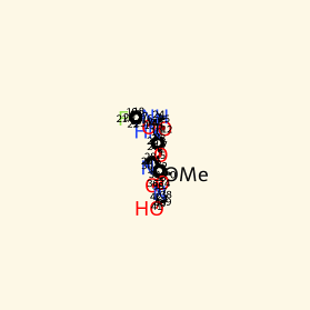 COc1cc2c(Oc3ccc(NC(=O)C4(C(=O)Nc5ccc(F)cc5)CC4)cc3)ccnc2cc1OC(=O)N1CC[C@@H](O)C1